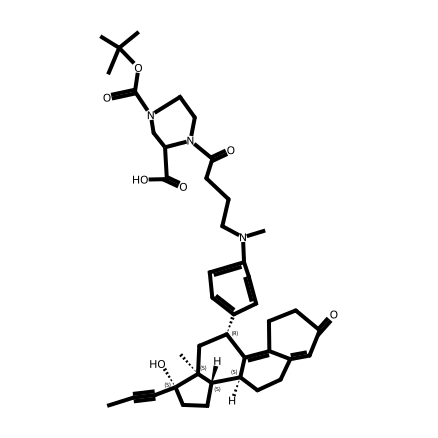 CC#C[C@]1(O)CC[C@H]2[C@@H]3CCC4=CC(=O)CCC4=C3[C@@H](c3ccc(N(C)CCCC(=O)N4CCN(C(=O)OC(C)(C)C)CC4C(=O)O)cc3)C[C@@]21C